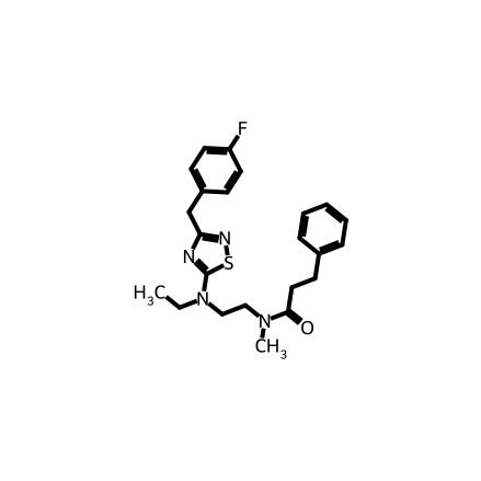 CCN(CCN(C)C(=O)CCc1ccccc1)c1nc(Cc2ccc(F)cc2)ns1